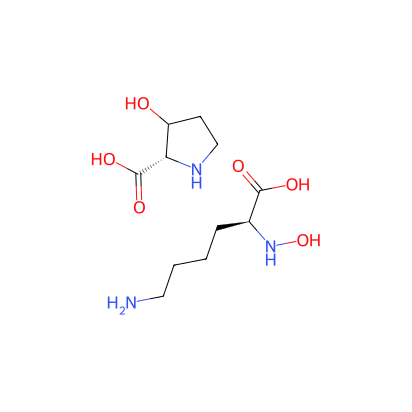 NCCCC[C@H](NO)C(=O)O.O=C(O)[C@H]1NCCC1O